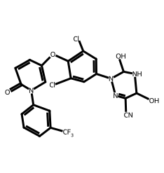 N#CC1=NN(c2cc(Cl)c(Oc3ccc(=O)n(-c4cccc(C(F)(F)F)c4)c3)c(Cl)c2)C(O)NC1O